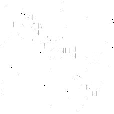 CC(C)Cc1c(F)cnc2cc(Cn3c(Cl)ccc(NC(=O)C(CCC=CC(=O)N(C)C)NC(=O)O)c3=O)[nH]c12